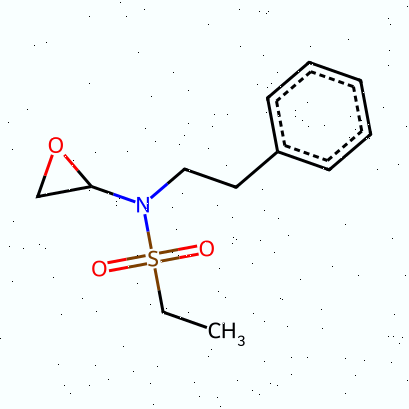 CCS(=O)(=O)N(CCc1ccccc1)C1CO1